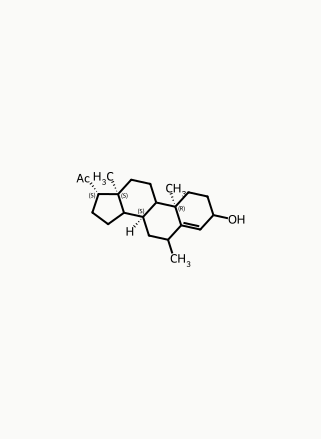 CC(=O)[C@H]1CCC2[C@@H]3CC(C)C4=CC(O)CC[C@]4(C)C3CC[C@@]21C